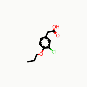 CCCOc1ccc(CC(=O)O)cc1Cl